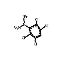 CC(C)N(c1c(Cl)c(Cl)cc(Cl)c1Cl)[N+](=O)[O-]